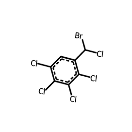 Clc1cc(C(Cl)Br)c(Cl)c(Cl)c1Cl